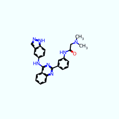 CN(C)CC(=O)Nc1cccc(-c2nc(Nc3ccc4[nH]ncc4c3)c3ccccc3n2)c1